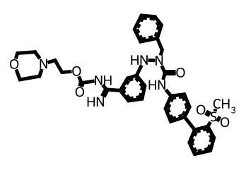 CS(=O)(=O)c1ccccc1-c1ccc(NC(=O)N(Cc2ccccc2)Nc2cccc(C(=N)NC(=O)OCCN3CCOCC3)c2)cc1